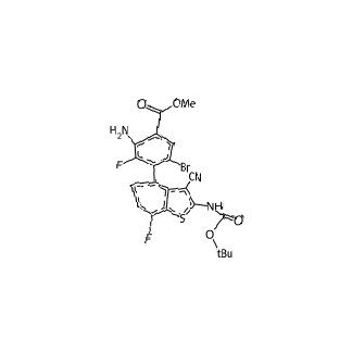 COC(=O)c1cc(Br)c(-c2ccc(F)c3sc(NC(=O)OC(C)(C)C)c(C#N)c23)c(F)c1N